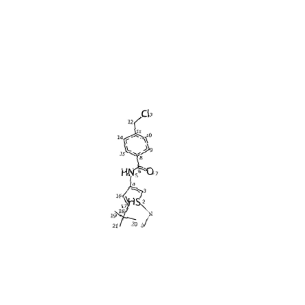 CC[SH]1C=C(NC(=O)c2ccc(CCl)cc2)C=C1C(C)(C)C